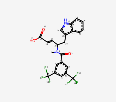 CN(C(=O)c1cc(C(F)(F)F)cc(C(F)(F)F)c1)C(C=CC(=O)O)Cc1c[nH]c2ccccc12